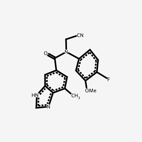 COc1cc(N(CC#N)C(=O)c2cc(C)c3nc[nH]c3c2)ccc1F